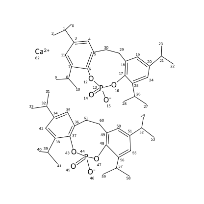 CC(C)c1cc2c(c(C(C)C)c1)OP(=O)([O-])Oc1c(cc(C(C)C)cc1C(C)C)CC2.CC(C)c1cc2c(c(C(C)C)c1)OP(=O)([O-])Oc1c(cc(C(C)C)cc1C(C)C)CC2.[Ca+2]